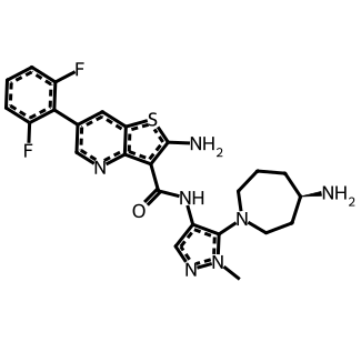 Cn1ncc(NC(=O)c2c(N)sc3cc(-c4c(F)cccc4F)cnc23)c1N1CCC[C@@H](N)CC1